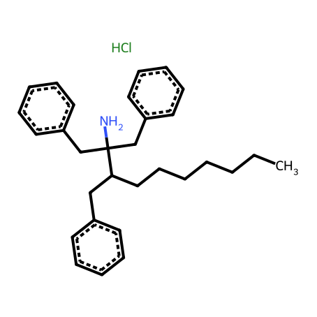 CCCCCCCC(Cc1ccccc1)C(N)(Cc1ccccc1)Cc1ccccc1.Cl